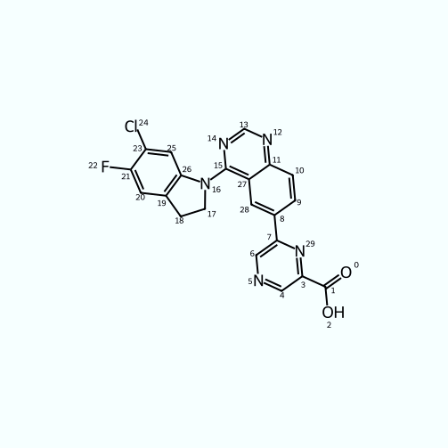 O=C(O)c1cncc(-c2ccc3ncnc(N4CCc5cc(F)c(Cl)cc54)c3c2)n1